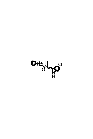 O=C(NCCc1c[nH]c2ccc(Cl)cc12)c1cn(-c2ccccc2)nn1